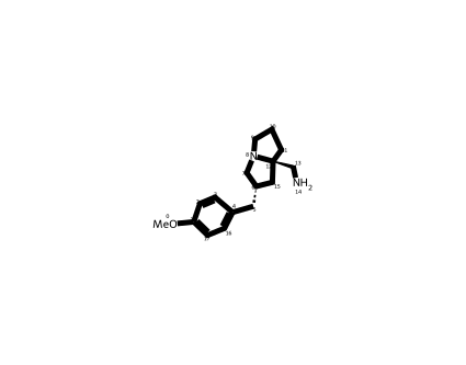 COc1ccc(C[C@@H]2CN3CCC[C@]3(CN)C2)cc1